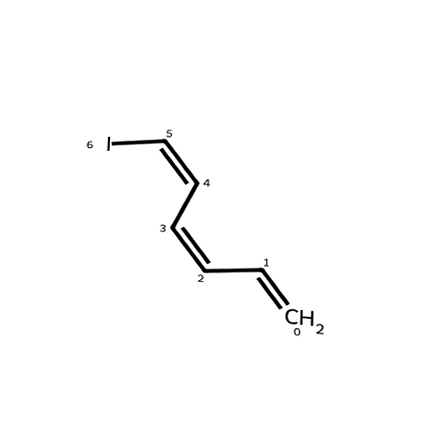 C=C/C=C\C=C/I